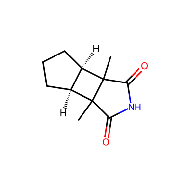 CC12C(=O)NC(=O)C1(C)[C@H]1CCC[C@H]12